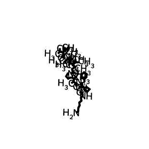 CCC(C)C(C(C)CC(=O)N1CCCC1C(C)C(C)C(=O)N[C@@H](Cc1ccccc1)C(=O)N1CCC[C@@H]1C(=O)NCCCCCCN)N(C)C(=O)[C@@H](NC(=O)C(C(C)C)N(C)C)C(C)C